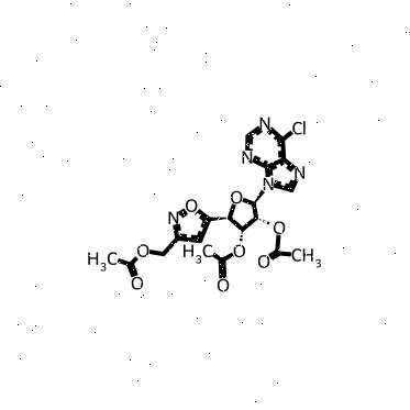 CC(=O)OCc1cc([C@H]2O[C@@H](n3cnc4c(Cl)ncnc43)[C@H](OC(C)=O)[C@@H]2OC(C)=O)on1